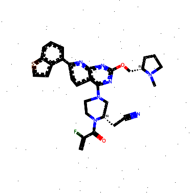 C=C(F)C(=O)N1CCN(c2nc(OC[C@@H]3CCCN3C)nc3nc(-c4cccc5sccc45)ccc23)C[C@@H]1CC#N